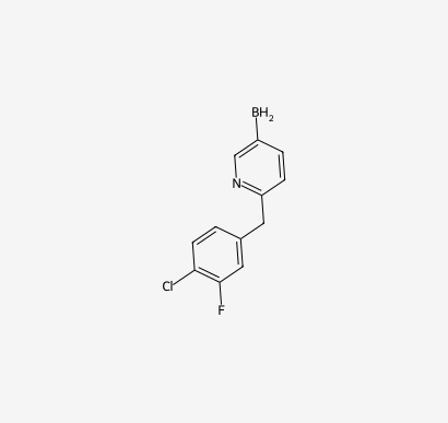 Bc1ccc(Cc2ccc(Cl)c(F)c2)nc1